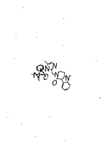 Cc1cnc(CN2CCc3c(c4ccccc4n3C)C2=O)n1S(=O)(=O)N(C)C